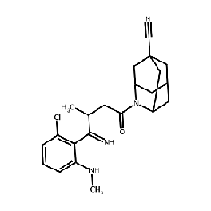 CNc1cccc(Cl)c1C(=N)C(C)CC(=O)N1C2CC3CC1CC(C#N)(C3)C2